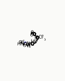 O=C1NC(=O)/C(=C\c2ccnc(N3CCC(CNCc4cc(C(F)(F)F)cc(-c5ccc6c(c5)OCO6)n4)CC3)n2)S1